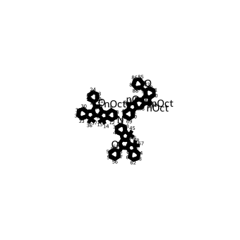 CCCCCCCCC1(CCCCCCCC)c2cc(N(c3ccc4c(c3)C(C)(C)c3c5c(c6c(oc7ccccc76)c3-4)-c3ccccc3C5(C)C)c3ccc4c(c3)C(C)(C)c3c5c(c6c(oc7ccccc76)c3-4)-c3ccccc3C5(C)C)ccc2-c2cc3c(cc21)-c1c(ccc2oc4ccccc4c12)C3(CCCCCCCC)CCCCCCCC